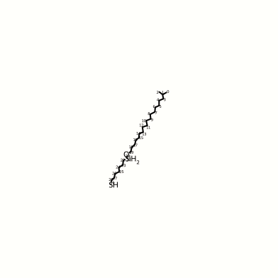 CC(C)CCCCCCCCCCCCCCCCCO[SiH2]CCCCCCCS